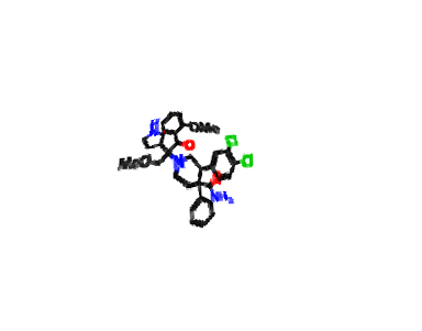 COCC(C(=O)c1ccccc1OC)(C1CCNC1)N1CCC(C(N)=O)(c2ccccc2)C(c2ccc(Cl)c(Cl)c2)C1